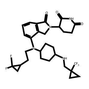 O=C1CCC(N2Cc3c(cccc3N(CCC3CC3(F)F)C3CCC(NCC4(C(F)(F)F)CC4)CC3)C2=O)C(=O)N1